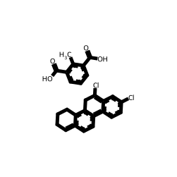 Cc1c(C(=O)O)cccc1C(=O)O.ClC1=c2cc(Cl)ccc2=c2ccc3c(c2C1)CCCC=3